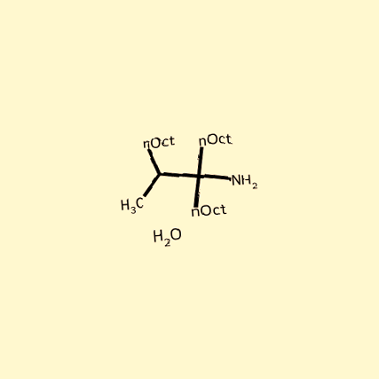 CCCCCCCCC(C)C(N)(CCCCCCCC)CCCCCCCC.O